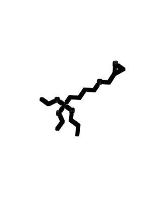 CCCO[Si](CCCCOCC1CO1)(OCC)OCC